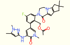 CC(=O)OCc1c(-c2cc(Nc3cc(C)n(C)n3)c(=O)n(C)c2)cc(F)cc1N1CCn2c(cc3c2CC(C)(C)C3)C1=O